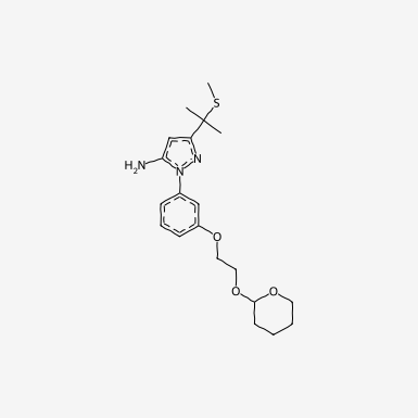 CSC(C)(C)c1cc(N)n(-c2cccc(OCCOC3CCCCO3)c2)n1